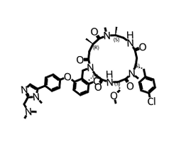 COC[C@@H]1NC(=O)[C@H](C)N(Cc2c(Cl)cccc2Oc2ccc(-c3cnc(CN(C)C)n3C)cc2)C(=O)C[C@@H](C)C(=O)N(C)[C@@H](C)CNC(=O)C[C@H](Cc2ccc(Cl)cc2)N(C)C1=O